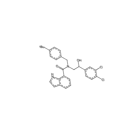 CC(C)(C)c1ccc(CN(CC(O)c2ccc(Cl)c(Cl)c2)C(=O)c2cccc3cc[nH]c23)cc1